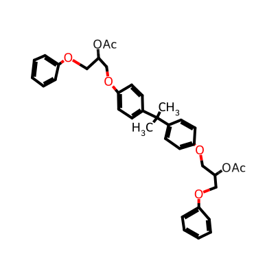 CC(=O)OC(COc1ccccc1)COc1ccc(C(C)(C)c2ccc(OCC(COc3ccccc3)OC(C)=O)cc2)cc1